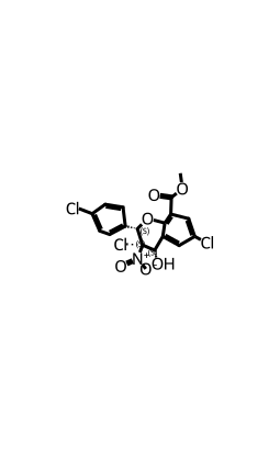 COC(=O)c1cc(Cl)cc2c1O[C@@H](c1ccc(Cl)cc1)[C@](Cl)([N+](=O)[O-])[C@H]2O